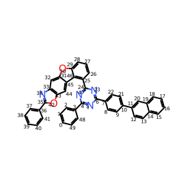 c1ccc(-c2nc(-c3ccc(-c4ccc5ccccc5c4)cc3)nc(-c3cccc4oc5cc6nc(-c7ccccc7)oc6cc5c34)n2)cc1